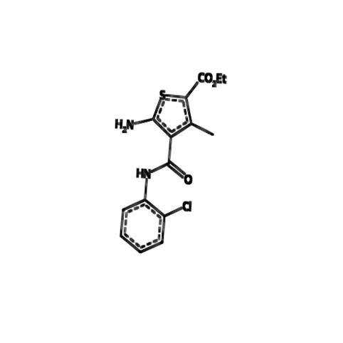 CCOC(=O)c1sc(N)c(C(=O)Nc2ccccc2Cl)c1C